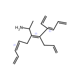 C=C/C=C\C/C(=C(CC=C)/C(C=C)=C/C=C)C(C)N